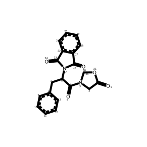 O=C1CN(C(=O)C(Cc2ccccc2)N2C(=O)c3ccccc3C2=O)CO1